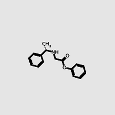 C[C@H](NCC(=O)Oc1ccccc1)c1ccccc1